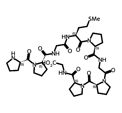 CSCC[C@H](NC(=O)CNC(=O)[C@@H]1CCCN1C(=O)[C@@H]1CCCN1)C(=O)N1CCC[C@H]1C(=O)NCC(=O)N1CCC[C@H]1C(=O)N1CCC[C@H]1C(=O)NCC(=O)O